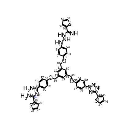 N=C(NNNc1ccc(OCc2cc(COc3ccc(N(N)/N=C(\N)c4cccs4)cc3)cc(COc3ccc(-n4nnc(-c5cccs5)n4)cc3)c2)cc1)c1cccs1